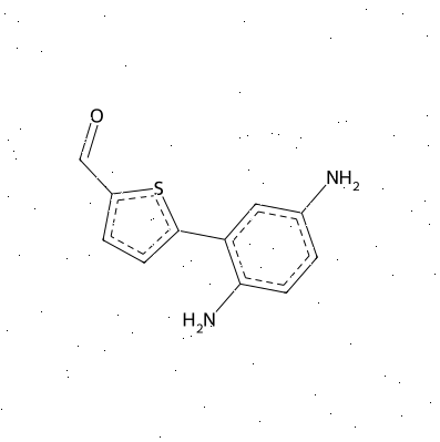 Nc1ccc(N)c(-c2ccc(C=O)s2)c1